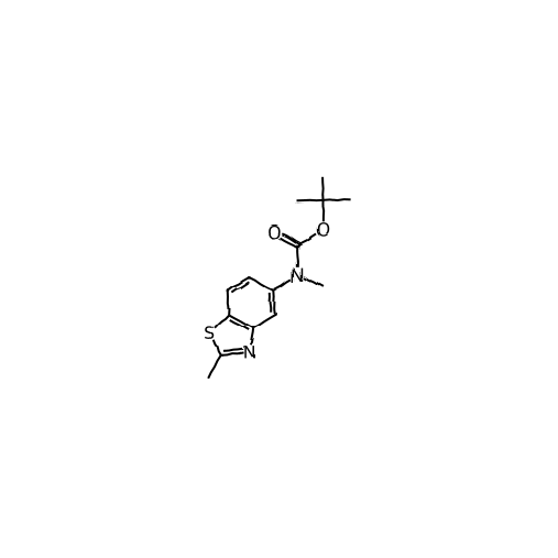 Cc1nc2cc(N(C)C(=O)OC(C)(C)C)ccc2s1